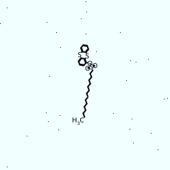 CCCCCCCCCCCCCCCCS(=O)(=O)Oc1cccc2c1Sc1ccccc1S2